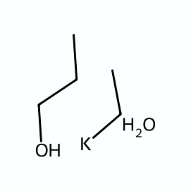 CCCO.C[CH2][K].O